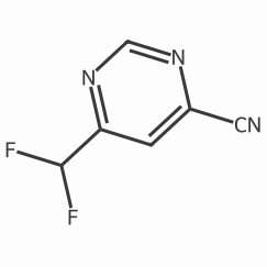 N#Cc1cc(C(F)F)ncn1